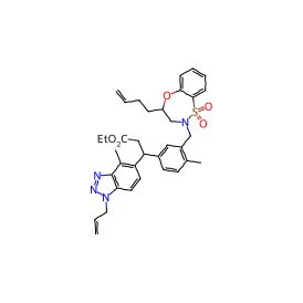 C=CCCC1CN(Cc2cc(C(CC(=O)OCC)c3ccc4c(nnn4CC=C)c3C)ccc2C)S(=O)(=O)c2ccccc2O1